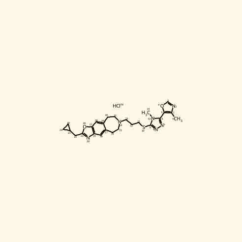 Cc1ncoc1-c1nnc(SCCCN2CCc3cc4nc(CC5CC5)oc4cc3CC2)n1C.Cl